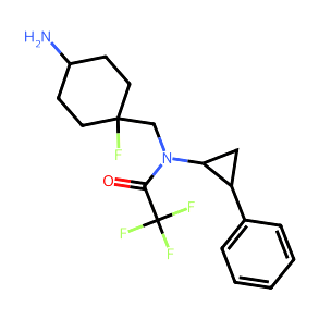 NC1CCC(F)(CN(C(=O)C(F)(F)F)C2CC2c2ccccc2)CC1